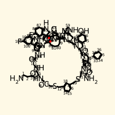 NCCCC[C@@H]1NC(=O)CCSCc2cccc(c2)CSC[C@@H](C(N)=O)NC(=O)[C@@H]2C[C@@H](c3ccccc3)CN2C(=O)[C@H](Cc2ccc(O)cc2)NC(=O)[C@H](Cc2cnc[nH]2)NC(=O)[C@H](CC(=O)O)NC(=O)[C@H](CC2(C3CCCCCCCC3)CNc3ccc(F)cc32)NC(=O)[C@H](Cc2c[nH]c3ccc(F)cc23)NC(=O)CNC1=O